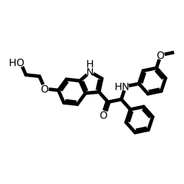 COc1cccc(NC(C(=O)c2c[nH]c3cc(OCCO)ccc23)c2ccccc2)c1